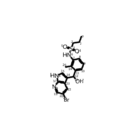 CCCS(=O)(=O)Nc1cccc(C(O)c2c[nH]c3ncc(Br)cc23)c1C